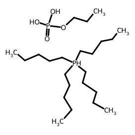 CCCCC[PH](CCCCC)(CCCCC)CCCCC.CCCOP(=O)(O)O